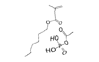 C=C(C)C(=O)OCCCCCC.CC(=O)OP(=O)(O)O